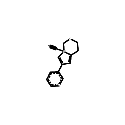 N#C[N+]12C=C(c3cccnc3)C=C1CCSC2